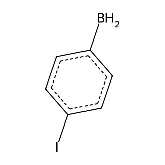 Bc1ccc(I)cc1